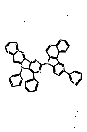 c1ccc(-c2ccc3c(c2)c2c4ccccc4ccc2n3-c2nc(-c3ccccc3)c3c(n2)c2cc4ccccc4cc2n3-c2ccccc2)cc1